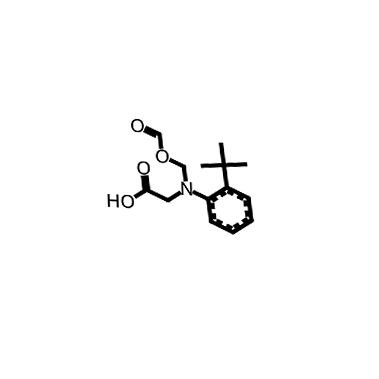 CC(C)(C)c1ccccc1N(COC=O)CC(=O)O